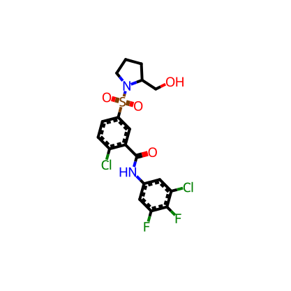 O=C(Nc1cc(F)c(F)c(Cl)c1)c1cc(S(=O)(=O)N2CCCC2CO)ccc1Cl